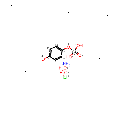 Cl.N.O.O.O=[As](O)(O)Oc1ccc(O)cc1